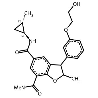 CNC(=O)c1cc(C(=O)N[C@H]2C[C@@H]2C)cc2c1OC(C)C2c1cccc(OCCO)c1